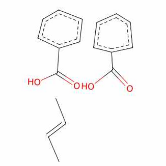 CC=CC.O=C(O)c1ccccc1.O=C(O)c1ccccc1